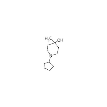 CC1(O)CCN(C2CCCC2)CC1